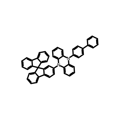 c1ccc(-c2ccc(N3c4ccccc4N(c4ccc5c(c4)C4(c6ccccc6-c6ccccc64)c4ccccc4-5)c4ccccc43)cc2)cc1